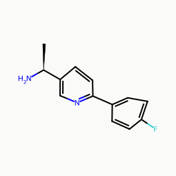 C[C@H](N)c1ccc(-c2ccc(F)cc2)nc1